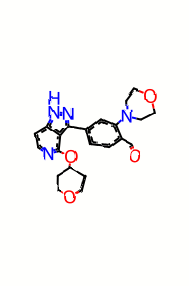 O=Cc1ccc(-c2n[nH]c3ccnc(OC4CCOCC4)c23)cc1N1CCOCC1